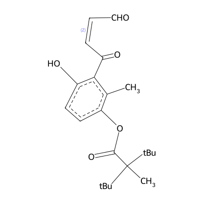 Cc1c(OC(=O)C(C)(C(C)(C)C)C(C)(C)C)ccc(O)c1C(=O)/C=C\C=O